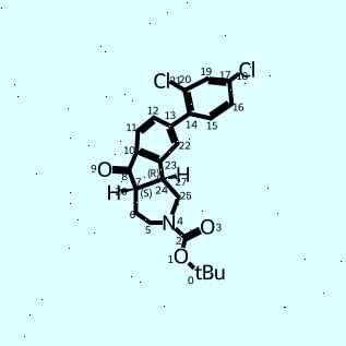 CC(C)(C)OC(=O)N1CC[C@@H]2C(=O)c3ccc(-c4ccc(Cl)cc4Cl)cc3[C@@H]2C1